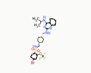 CC(C)Nc1nc(NC[C@H]2CC[C@H](CNS(=O)(=O)c3ccc(Br)cc3OC(F)(F)F)CC2)nc2ccccc12